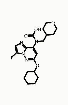 O=C(O)N(CC1CCOCC1)c1cc(OC2CCCCC2)nn2c(I)cnc12